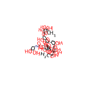 COc1cc(-c2oc3cc(O[C@@H]4OC(C)[C@H](O)C(O)[C@@H]4O)cc(O)c3c(=O)c2O[C@@H]2OC(COC(=O)/C=C/c3ccc(O)c(O)c3)[C@@H](O)C(O)[C@@H]2OC2OC(C)[C@H](O)C(O)[C@@H]2O)ccc1O